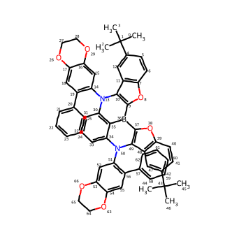 CC(C)(C)c1ccc2oc3c(c2c1)N(c1cc2c(cc1-c1ccccc1)OCCO2)c1cccc2c1B3c1oc3ccc(C(C)(C)C)cc3c1N2c1cc2c(cc1-c1ccccc1)OCCO2